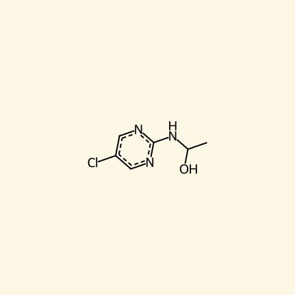 CC(O)Nc1ncc(Cl)cn1